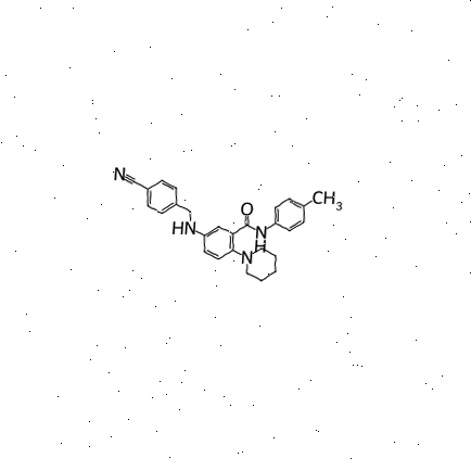 Cc1ccc(NC(=O)c2cc(NCc3ccc(C#N)cc3)ccc2N2CCCCC2)cc1